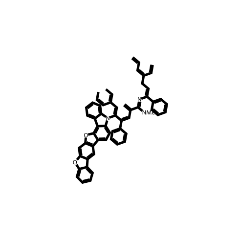 C=C/C=C(\C=C)C/C=C(\N=C(/NC)C(=C)\C=C(/C(=C/C(/C=C\C)=C/C)n1c2ccccc2c2c3oc4cc5oc6ccccc6c5cc4c3ccc21)c1ccccc1)c1ccccc1